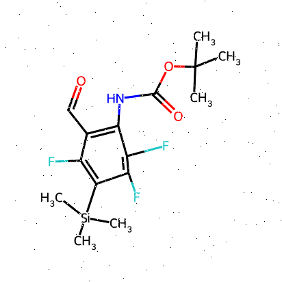 CC(C)(C)OC(=O)Nc1c(F)c(F)c([Si](C)(C)C)c(F)c1C=O